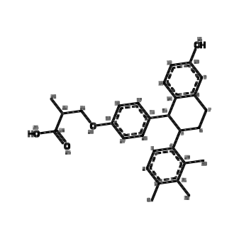 Cc1ccc(C2CCc3cc(O)ccc3C2c2ccc(OCC(C)C(=O)O)cc2)c(C)c1C